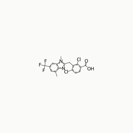 Cc1cc(C(F)(F)F)cc2c1nc(Cc1c(Cl)ccc(C(=O)O)c1Cl)n2C